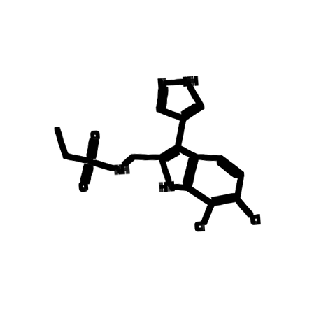 CCS(=O)(=O)NCc1[nH]c2c(Cl)c(Cl)ccc2c1-c1cn[nH]c1